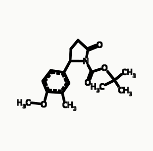 COc1ccc(C2CCC(=O)N2C(=O)OC(C)(C)C)cc1C